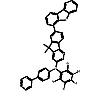 [2H]c1c([2H])c([2H])c(N(c2ccc(-c3ccccc3)cc2)c2ccc3c(c2)C(C)(C)c2cc(-c4cccc5c4oc4ccccc45)ccc2-3)c([2H])c1[2H]